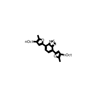 CCCCCCCCc1cc(-c2ccc(-c3cc(CCCCCCCC)c(C)o3)c3nsnc23)oc1C